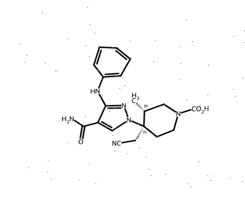 C[C@@H]1CN(C(=O)O)CC[C@@]1(CC#N)n1cc(C(N)=O)c(Nc2ccccc2)n1